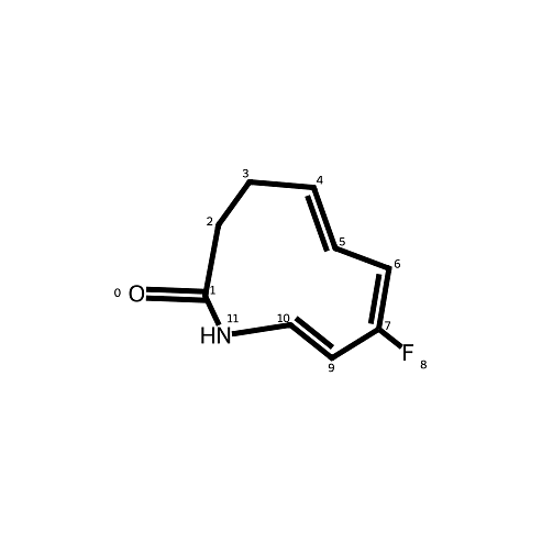 O=C1CC/C=C/C=C(F)\C=C\N1